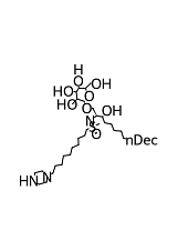 CCCCCCCCCCCCCCC[C@@H](O)[C@H](COC1OC(CO)C(O)C(O)C1O)N=S(C)(=O)CCCCCCCCCCN1CCNCC1